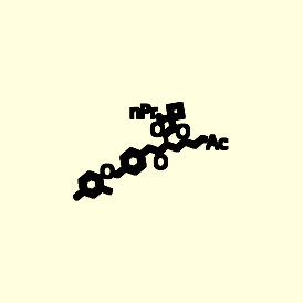 CCCC(=O)C1(C(=O)C[C@@H](CCCCC(C)=O)C(=O)Cc2ccc(COc3ccc(C)cc3C)cc2)CCC1